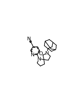 N#Cc1ccc(N2CCCC23CCN(C24CC5CC(CC(C5)C2)C4)C3=O)nc1